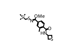 COC(=NSC[Si](C)(C)C)c1ccc(C(=O)NC2CSC2)c(C)c1